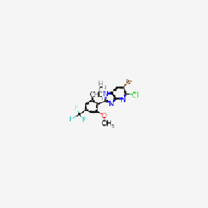 COc1cc(C(F)(F)F)cc(C)c1-c1nc2nc(Cl)c(Br)cc2n1C